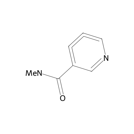 CNC(=O)C1=C=C=CN=C1